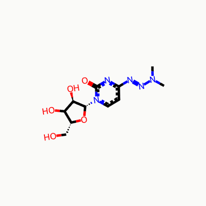 CN(C)/N=N/c1ccn([C@@H]2O[C@H](CO)C(O)[C@H]2O)c(=O)n1